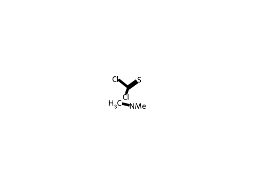 CNC.S=C(Cl)Cl